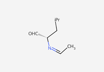 C/C=N\[C@H](C=O)CC(C)C